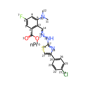 CCCOC(=O)c1cc(F)cc(N(C)C)c1C=NNc1nc(-c2ccc(Cl)cc2)cs1